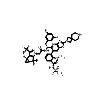 Cn1nc(NS(C)(=O)=O)c2cccc(-c3cc4sc(N5CC6(CCNCC6)C5)nc4nc3[C@H](Cc3cc(F)cc(F)c3)NC(=O)Cn3nc(C(F)(F)F)c4c3C(F)(F)C3C[C@H]43)c21